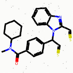 CN(C(=O)c1ccc(C(C=S)n2c(C=S)nc3ccccc32)cc1)C1CCCCC1